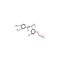 CC(=O)c1ccc(/C(F)=C/C(c2cc(Cl)cc(OCC(F)(F)F)c2)C(F)(F)F)cc1C(F)(F)F